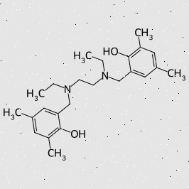 CCN(CCN(CC)Cc1cc(C)cc(C)c1O)Cc1cc(C)cc(C)c1O